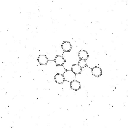 c1ccc(-c2cc(-c3ccccc3)nc(N3c4ccccc4-c4ccccc4-c4cc5c(cc43)c3ccccc3n5-c3ccccc3)n2)cc1